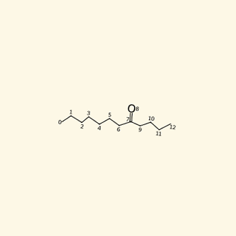 CCCCCCCC(=O)CCCC